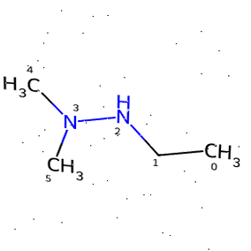 CCNN(C)C